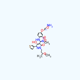 COC(C)CCn1nc(-c2ccsc2)c(O)c(C2=NP(=O)(OC)c3cc(O/C=C/ON)ccc3N2)c1=O